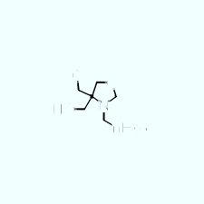 CCCCCCCN1COCC1(CO)CO